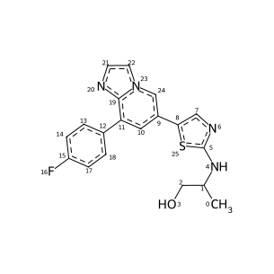 CC(CO)Nc1ncc(-c2cc(-c3ccc(F)cc3)c3nccn3c2)s1